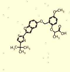 COc1ccc(OC(C)C(=O)O)c(COc2ccc3oc(-c4nc(C(C)(C)C)cs4)cc3c2)c1